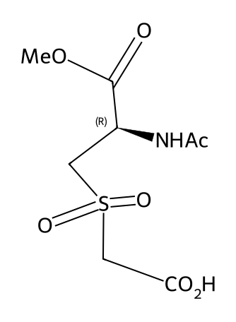 COC(=O)[C@H](CS(=O)(=O)CC(=O)O)NC(C)=O